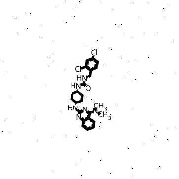 CN(C)c1nc(N[C@H]2CC[C@@H](NC(=O)NCc3ccc(Cl)cc3Cl)CC2)nc2ccccc12